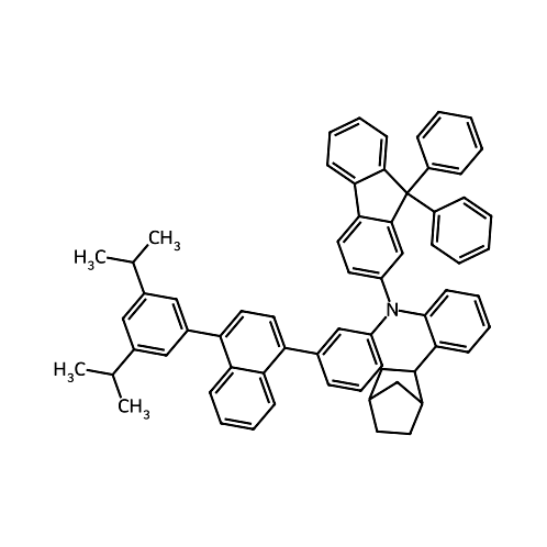 CC(C)c1cc(-c2ccc(-c3cccc(N(c4ccc5c(c4)C(c4ccccc4)(c4ccccc4)c4ccccc4-5)c4ccccc4C4CC5CCC4C5)c3)c3ccccc23)cc(C(C)C)c1